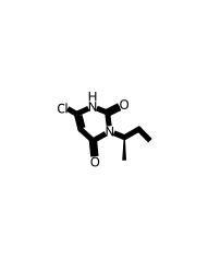 CC[C@@H](C)n1c(=O)cc(Cl)[nH]c1=O